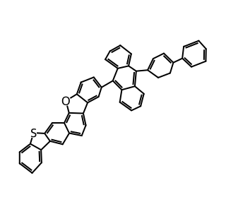 C1=C(c2ccccc2)CCC(c2c3ccccc3c(-c3ccc4oc5c6cc7sc8ccccc8c7cc6ccc5c4c3)c3ccccc23)=C1